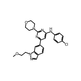 COCCn1ncc2ccc(-c3cc(Nc4ccc(Cl)cc4)nc(N4CCOCC4)n3)cc21